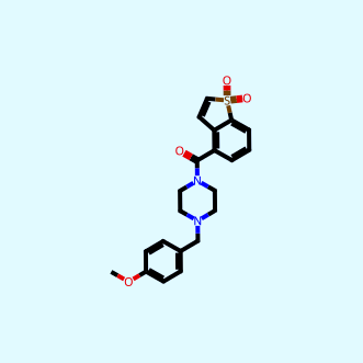 COc1ccc(CN2CCN(C(=O)c3cccc4c3C=CS4(=O)=O)CC2)cc1